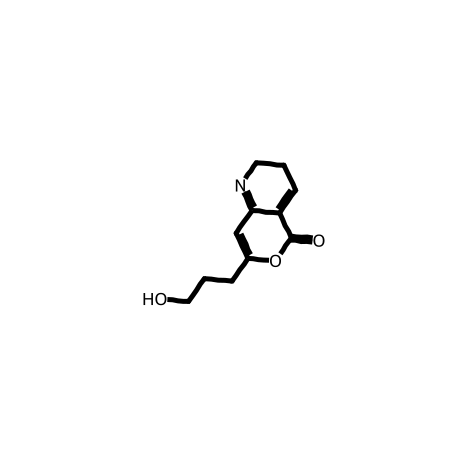 O=c1oc(CCCO)cc2c1=CCCN=2